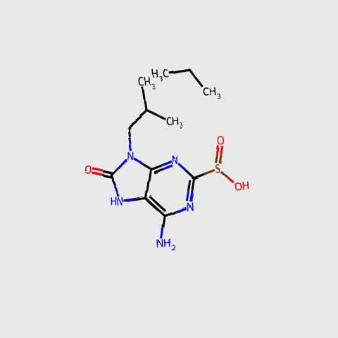 CC(C)Cn1c(=O)[nH]c2c(N)nc(S(=O)O)nc21.CCC